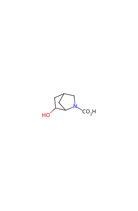 O=C(O)N1CC2CC(O)C1C2